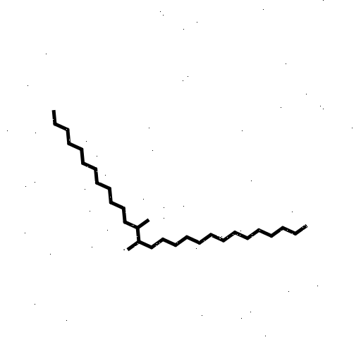 [CH2]C(CCCCCCCCCCCCCC)C(C)CCCCCCCCCCCC